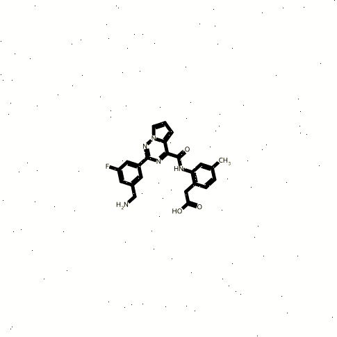 Cc1ccc(CC(=O)O)c(NC(=O)c2nc(-c3cc(F)cc(CN)c3)nn3cccc23)c1